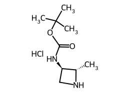 C[C@@H]1NC[C@H]1NC(=O)OC(C)(C)C.Cl